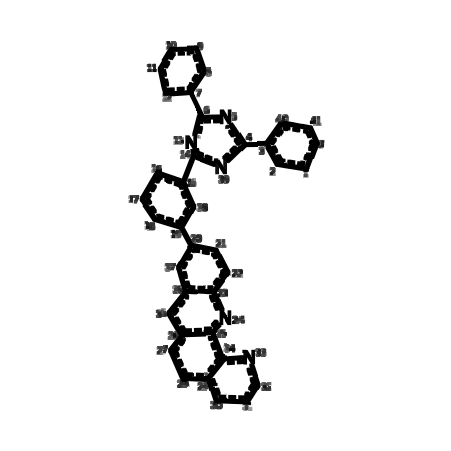 c1ccc(-c2nc(-c3ccccc3)nc(-c3cccc(-c4ccc5nc6c(ccc7cccnc76)cc5c4)c3)n2)cc1